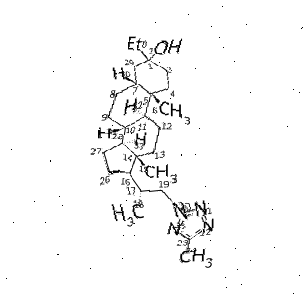 CC[C@@]1(O)CC[C@@]2(C)[C@H](CC[C@@H]3[C@@H]2CC[C@]2(C)[C@@H]([C@@H](C)Cn4nnc(C)n4)CC[C@@H]32)C1